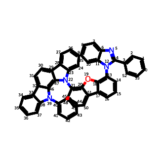 c1ccc(-c2nc3ccccc3n2-c2cccc3c2oc2c(-n4c5ccccc5c5ccc6c7ccccc7n(-c7ccccc7)c6c54)cccc23)cc1